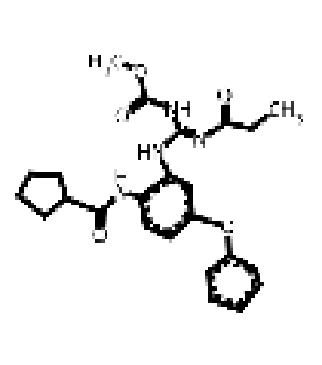 CCC(=O)N=C(NC(=O)OC)Nc1cc(Oc2ccccc2)ccc1NC(=O)C1CCCC1